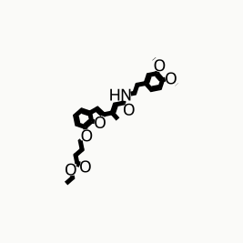 CCOC(=O)CCCOc1cccc2cc(/C(C)=C/C(=O)NCCc3ccc(OC)c(OC)c3)oc12